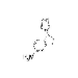 Nc1ccc2c(c1)CCC2n1ccnc1